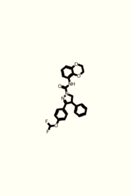 O=C(Nc1cccc2c1OCCO2)N1CC(c2ccccc2)C(c2ccc(OC(F)F)cc2)=N1